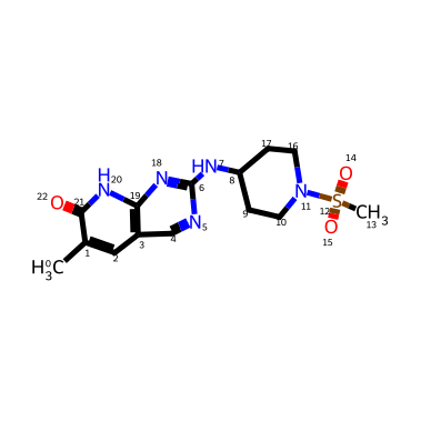 Cc1cc2cnc(NC3CCN(S(C)(=O)=O)CC3)nc2[nH]c1=O